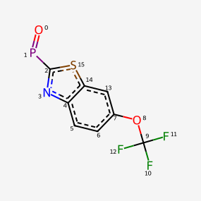 O=Pc1nc2ccc(OC(F)(F)F)cc2s1